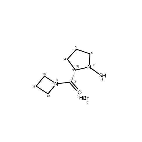 Br.O=C([C@@H]1CCCN1S)N1CCC1